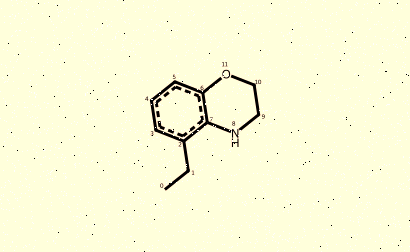 CCc1cccc2c1NCCO2